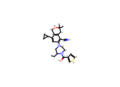 CCC1CN(c2cc(C3CC3)c3c(c2C#N)CC(C)(C)OC3)CCN1C(=O)c1ccsc1